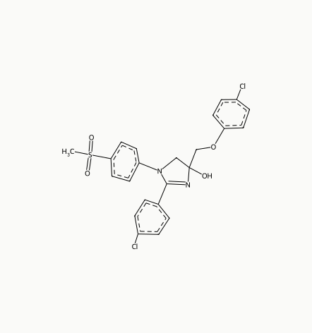 CS(=O)(=O)c1ccc(N2CC(O)(COc3ccc(Cl)cc3)N=C2c2ccc(Cl)cc2)cc1